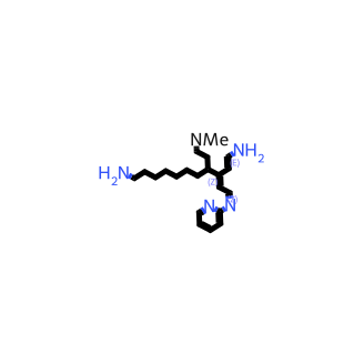 CNCCC(CCCCCCCN)C(=C/C=N\c1ccccn1)/C=C/N